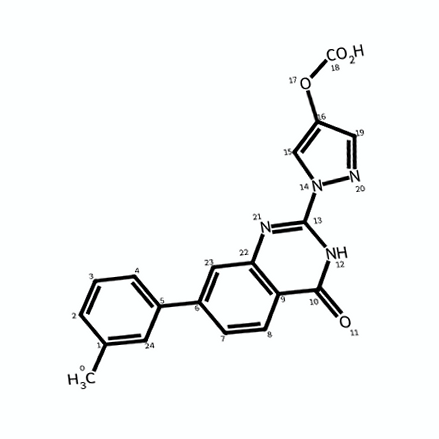 Cc1cccc(-c2ccc3c(=O)[nH]c(-n4cc(OC(=O)O)cn4)nc3c2)c1